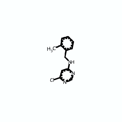 Cc1ccccc1CNc1cc(Cl)ncn1